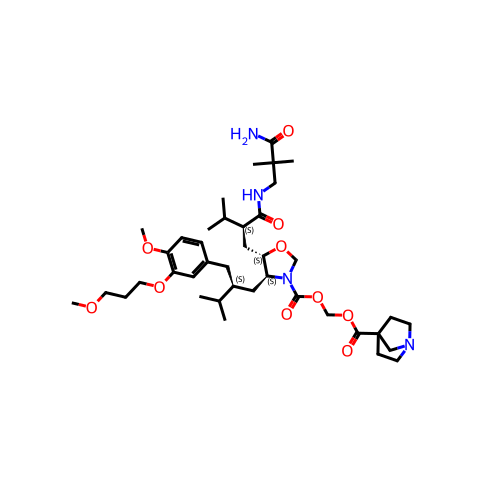 COCCCOc1cc(C[C@@H](C[C@H]2[C@H](C[C@H](C(=O)NCC(C)(C)C(N)=O)C(C)C)OCN2C(=O)OCOC(=O)C23CCN(CC2)C3)C(C)C)ccc1OC